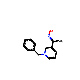 CC(=NO)C1=CC=CN(Cc2ccccc2)C1